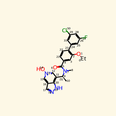 CCOc1cc(C(=O)N(C)[C@@H](C)c2c[n+](O)cc3cn[nH]c23)ccc1-c1cc(F)cc(Cl)c1